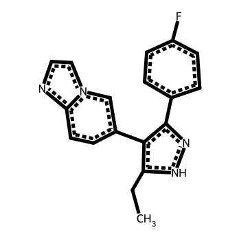 CCc1[nH]nc(-c2ccc(F)cc2)c1-c1ccc2nccn2c1